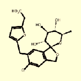 C[C@H]1O[C@]2(OCc3cc(Cl)c(Cc4ccc(CC(=O)O)s4)cc32)[C@H](O)[C@@H](O)[C@@H]1O